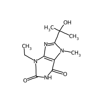 CCn1c(=O)[nH]c(=O)c2c1nc(C(C)(C)O)n2C